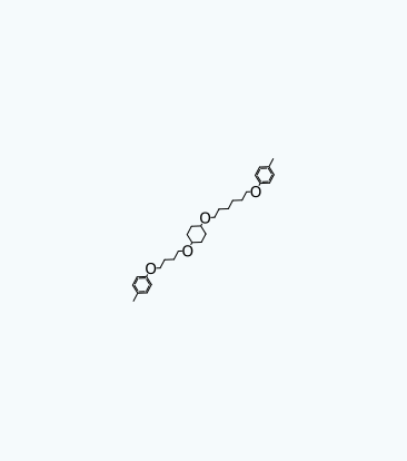 Cc1ccc(OCCCCCCOC2CCC(OCCCCOc3ccc(C)cc3)CC2)cc1